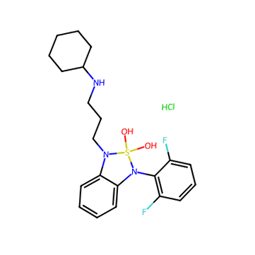 Cl.OS1(O)N(CCCNC2CCCCC2)c2ccccc2N1c1c(F)cccc1F